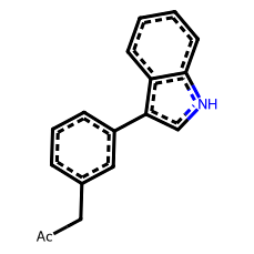 CC(=O)Cc1cccc(-c2c[nH]c3ccccc23)c1